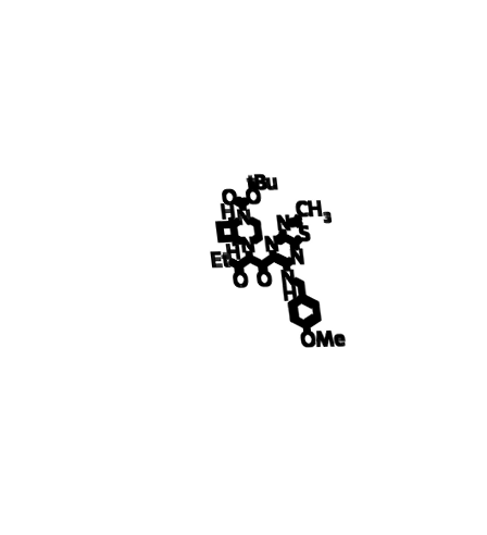 CCC(=O)C(C(=O)c1nc2nc(C)sc2nc1NCc1ccc(OC)cc1)N1CCN(C(=O)OC(C)(C)C)[C@H]2CC[C@@H]21